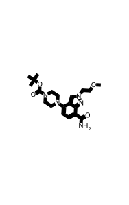 COCCn1cc2c(N3CCN(C(=O)OC(C)(C)C)CC3)ccc(C(N)=O)c2n1